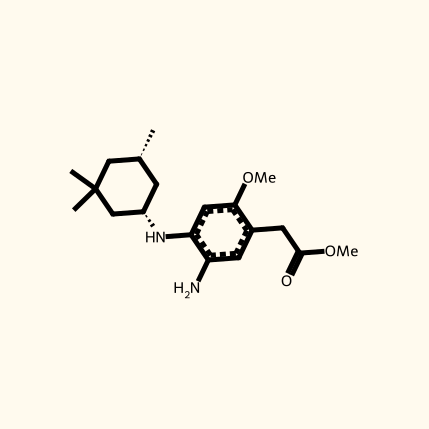 COC(=O)Cc1cc(N)c(N[C@H]2C[C@@H](C)CC(C)(C)C2)cc1OC